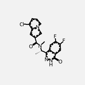 C[C@@H](c1n[nH]c(=O)c2cc(F)c(F)cc12)N(C)C(=O)c1cc2c(Cl)cccn2c1